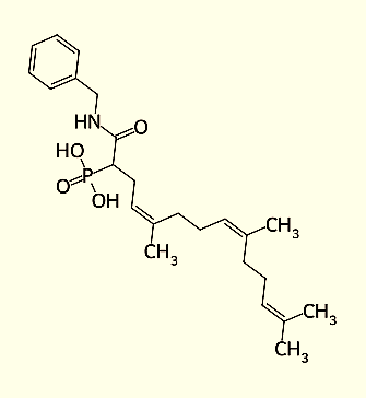 CC(C)=CCCC(C)=CCCC(C)=CCC(C(=O)NCc1ccccc1)P(=O)(O)O